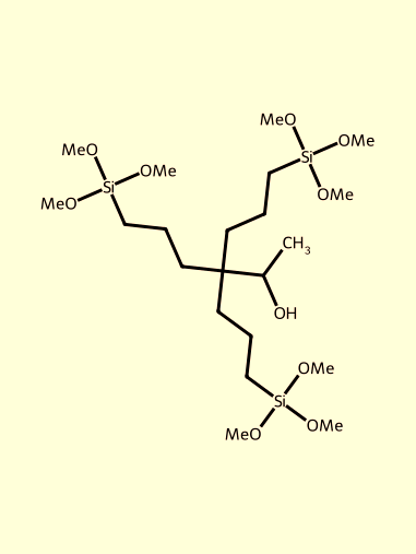 CO[Si](CCCC(CCC[Si](OC)(OC)OC)(CCC[Si](OC)(OC)OC)C(C)O)(OC)OC